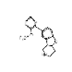 FC(F)(F)Oc1ccccc1-c1ccc2c(c1)C1CNCCC1O2